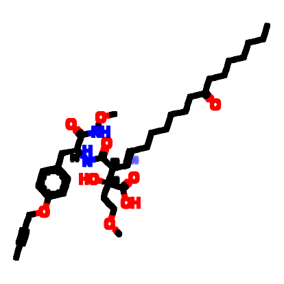 CC#CCOc1ccc(C[C@H](NC(=O)[C@@H](/C=C/CCCCCCC(=O)CCCCCCC)[C@@](O)(CCOC)C(=O)O)C(=O)NOC)cc1